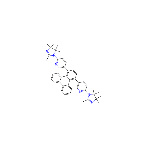 CC1=NC(C)(C)C(C)(C)N1c1ccc(-c2ccc(-c3ccc(N4C(C)=NC(C)(C)C4(C)C)nc3)c3c4ccccc4c4ccccc4c23)cn1